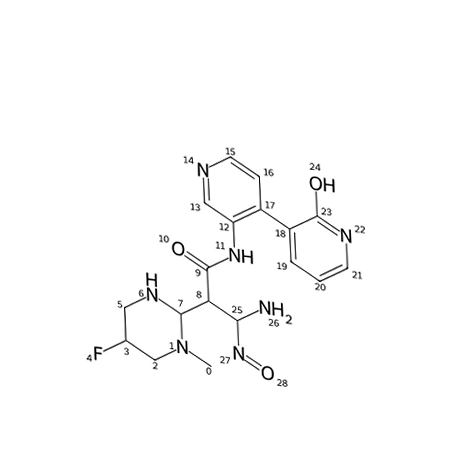 CN1CC(F)CNC1C(C(=O)Nc1cnccc1-c1cccnc1O)C(N)N=O